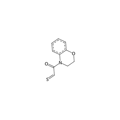 O=C(C=S)N1CCOc2ccccc21